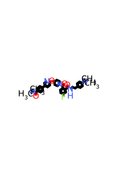 CN(C)C(=O)c1ccc(-c2ccc(OC3CCN(C(=O)c4ccc(F)cc4C(=O)NCCc4ccc(N(C)C)cc4)CC3)nc2)cc1